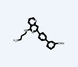 COc1cccc(-c2ccc(-c3cc4ncccc4c(NCCCN)n3)cc2)c1